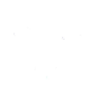 CC1(C)CC(=O)N(c2cc(-c3cnco3)cc(C(F)(F)F)c2)C1